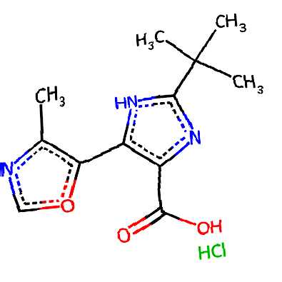 Cc1ncoc1-c1[nH]c(C(C)(C)C)nc1C(=O)O.Cl